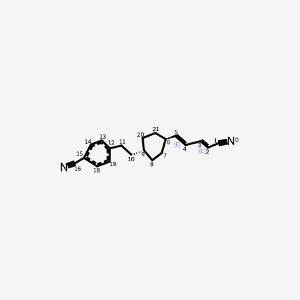 N#C/C=C/C=C/[C@H]1CC[C@H](CCc2ccc(C#N)cc2)CC1